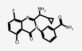 NC(=O)c1cccc(-n2c(C(N)C3CC3)nc3c(F)ccc(Cl)c3c2=O)c1